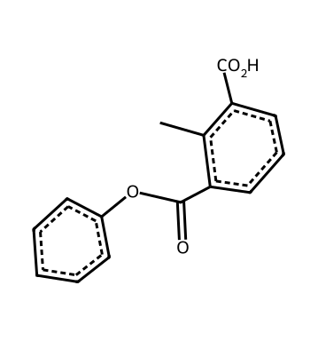 Cc1c(C(=O)O)cccc1C(=O)Oc1ccccc1